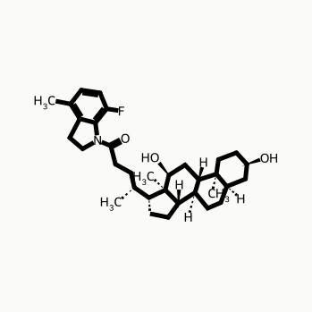 Cc1ccc(F)c2c1CCN2C(=O)CC[C@@H](C)[C@H]1CC[C@H]2[C@@H]3CC[C@@H]4C[C@H](O)CC[C@]4(C)[C@H]3C[C@H](O)[C@]12C